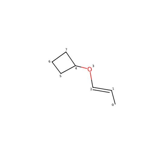 CC=COC1CCC1